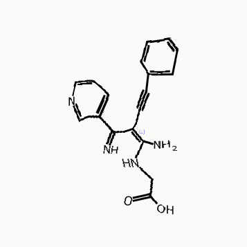 N=C(/C(C#Cc1ccccc1)=C(/N)NCC(=O)O)c1cccnc1